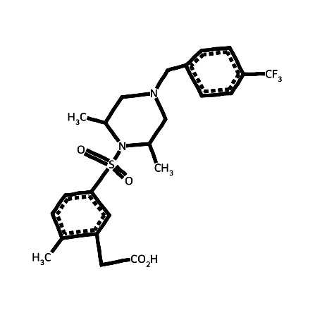 Cc1ccc(S(=O)(=O)N2C(C)CN(Cc3ccc(C(F)(F)F)cc3)CC2C)cc1CC(=O)O